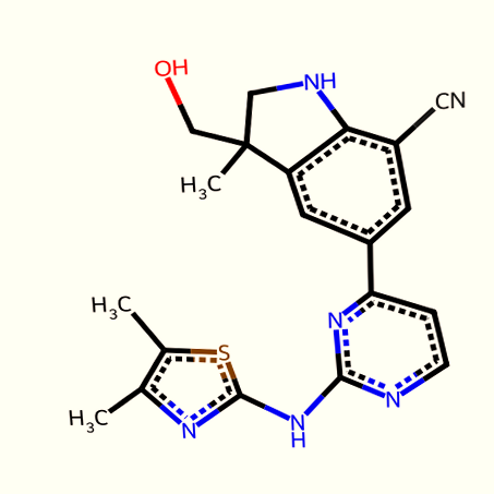 Cc1nc(Nc2nccc(-c3cc(C#N)c4c(c3)C(C)(CO)CN4)n2)sc1C